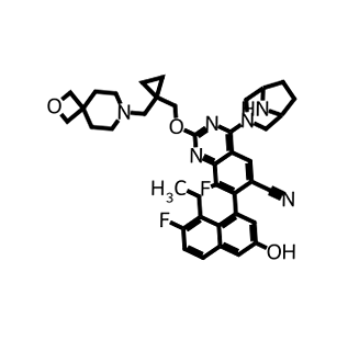 CCc1c(F)ccc2cc(O)cc(-c3c(C#N)cc4c(N5CC6CCC(C5)N6)nc(OCC5(CN6CCC7(CC6)COC7)CC5)nc4c3F)c12